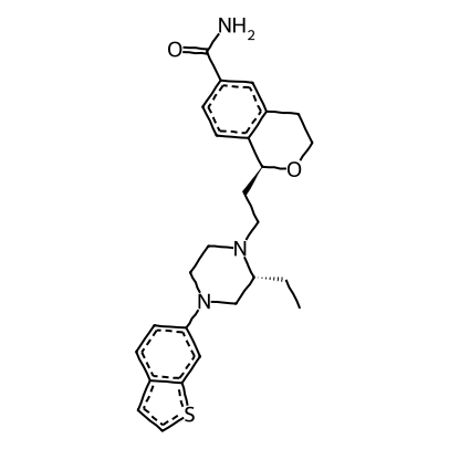 CC[C@@H]1CN(c2ccc3ccsc3c2)CCN1CC[C@@H]1OCCc2cc(C(N)=O)ccc21